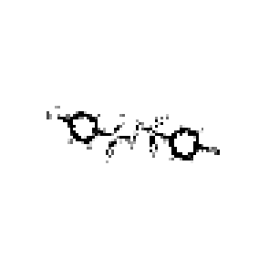 O=S(=O)(OOS(=O)(=O)c1ccc(Br)cc1)c1ccc(Br)cc1